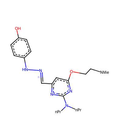 CCCN(CCC)c1nc(/C=N/Nc2ccc(O)cc2)cc(OCCNC)n1